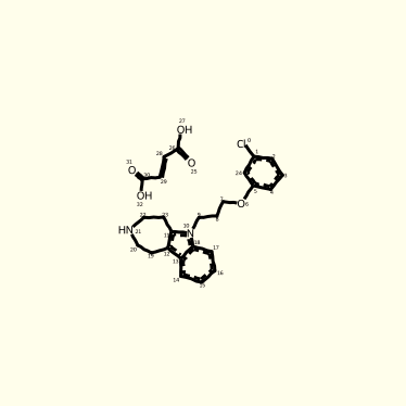 Clc1cccc(OCCCn2c3c(c4ccccc42)CCNCC3)c1.O=C(O)C=CC(=O)O